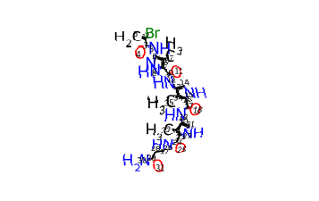 C=C(Br)C(=O)Nc1n[nH]c(C(=O)Nc2c[nH]c(C(=O)Nc3c[nH]c(C(=O)NCCC(N)=O)c3C)c2C)c1C